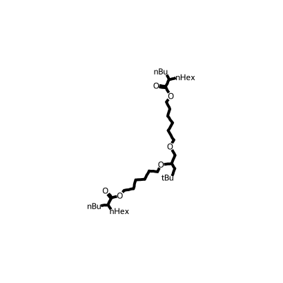 CCCCCCC(CCCC)C(=O)OCCCCCCOCC(CC(C)(C)C)OCCCCCCOC(=O)C(CCCC)CCCCCC